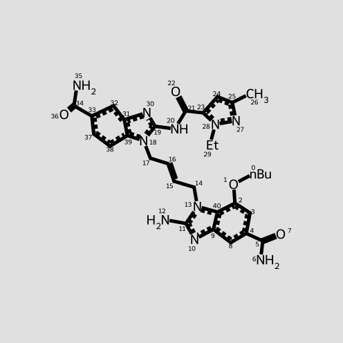 CCCCOc1cc(C(N)=O)cc2nc(N)n(C/C=C/Cn3c(NC(=O)c4cc(C)nn4CC)nc4cc(C(N)=O)ccc43)c12